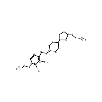 CCCC1CCC(C2CCC(CCc3ccc(OCC)c(F)c3F)CC2)C1